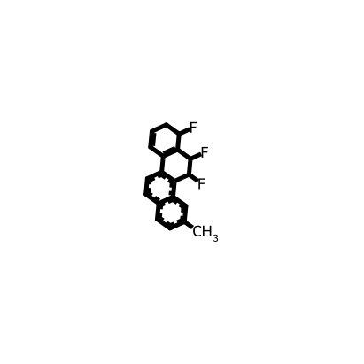 Cc1ccc2ccc3c(c2c1)C(F)C(F)C1=C3C=CCC1F